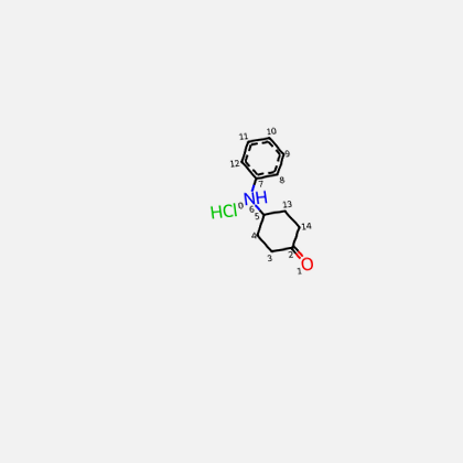 Cl.O=C1CCC(Nc2ccccc2)CC1